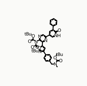 CN(Cc1ccc(-c2cc(-c3nc(-c4c[nH]c(=O)c(-c5ccccc5)c4)cnc3N(C(=O)OC(C)(C)C)C(=O)OC(C)(C)C)on2)cc1)C(=O)OC(C)(C)C